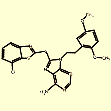 COc1ccc(OC)c(CCn2c(Sc3nc4cccc(Cl)c4s3)nc3c(N)ncnc32)c1